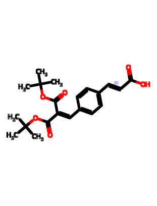 CC(C)(C)OC(=O)C(=Cc1ccc(/C=C/C(=O)O)cc1)C(=O)OC(C)(C)C